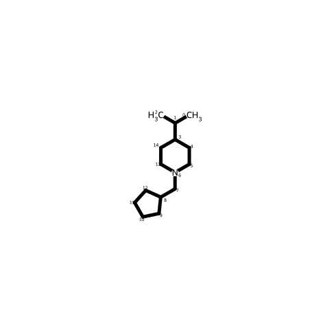 CC(C)C1CCN(CC2CCCC2)CC1